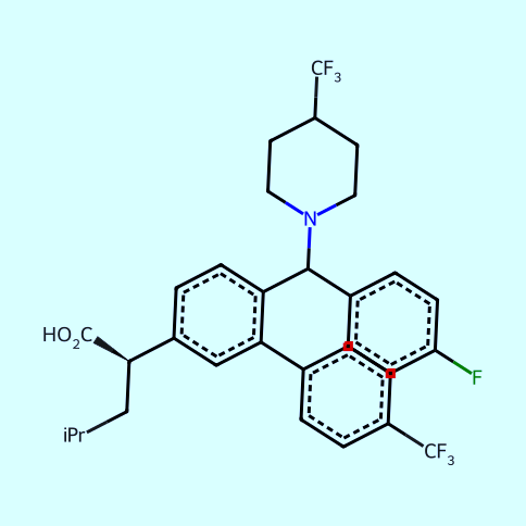 CC(C)C[C@@H](C(=O)O)c1ccc(C(c2ccc(F)cc2)N2CCC(C(F)(F)F)CC2)c(-c2ccc(C(F)(F)F)cc2)c1